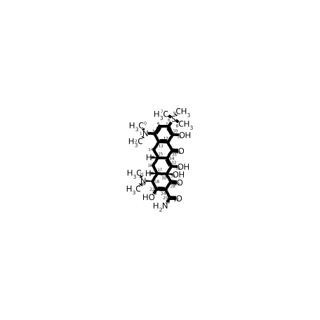 CN(C)c1cc(S(C)(C)C)c(O)c2c1C[C@H]1C[C@H]3[C@H](N(C)C)C(O)=C(C(N)=O)C(=O)[C@@]3(O)C(O)=C1C2=O